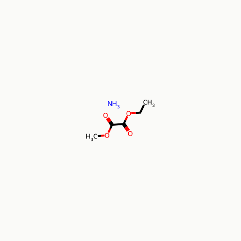 CCOC(=O)C(=O)OC.N